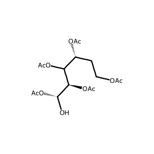 CC(=O)OCC[C@@H](OC(C)=O)C(OC(C)=O)[C@@H](OC(C)=O)[C@H](O)OC(C)=O